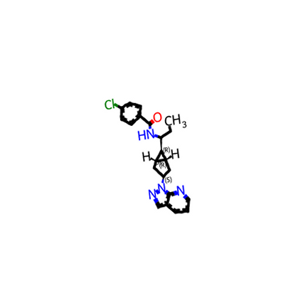 CCC(NC(=O)c1ccc(Cl)cc1)[C@H]1[C@@H]2C[C@@H](n3ncc4cccnc43)C[C@@H]21